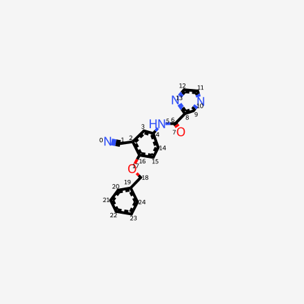 N#Cc1cc(NC(=O)c2cnccn2)ccc1OCc1ccccc1